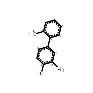 Cc1c[c]ccc1-c1ccc(Cl)c(C(F)(F)F)c1